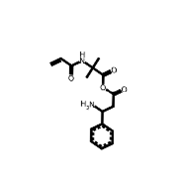 C=CC(=O)NC(C)(C)C(=O)OC(=O)CC(N)c1ccccc1